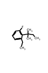 CCc1cccc(F)c1C(C)(C)CC